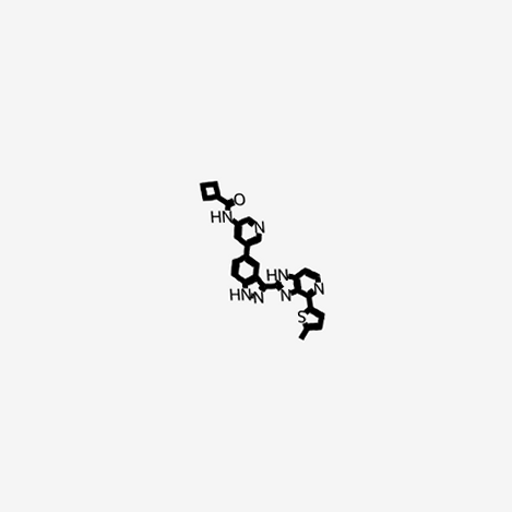 Cc1ccc(-c2nccc3[nH]c(-c4n[nH]c5ccc(-c6cncc(NC(=O)C7CCC7)c6)cc45)nc23)s1